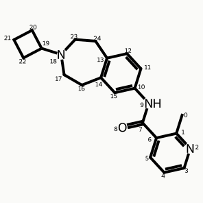 Cc1ncccc1C(=O)Nc1ccc2c(c1)CCN(C1CCC1)CC2